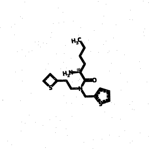 CCCC[C@H](N)C(=O)N(CCC1CCS1)Cc1cccs1